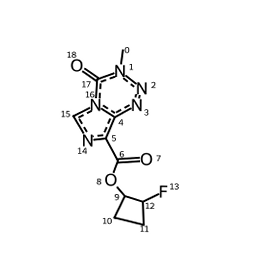 Cn1nnc2c(C(=O)OC3CCC3F)ncn2c1=O